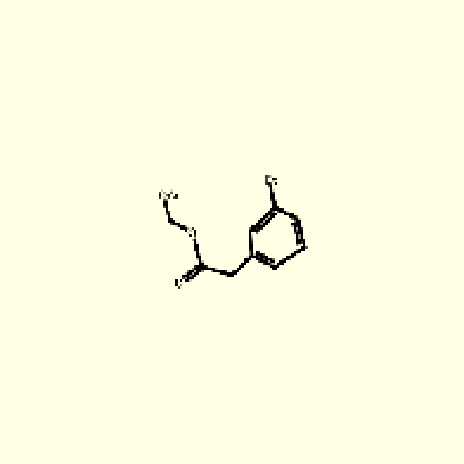 CCc1cccc(CC(=O)OCOC(C)=O)c1